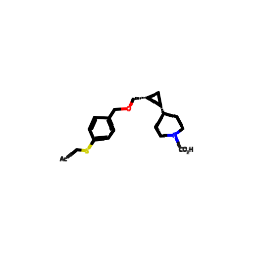 CC(=O)CSc1ccc(COC[C@@H]2C[C@@H]2C2CCN(C(=O)O)CC2)cc1